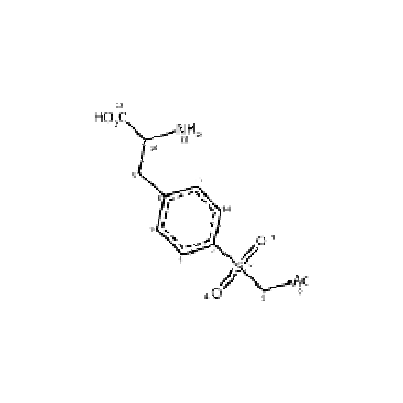 CC(=O)CS(=O)(=O)c1ccc(CC(N)C(=O)O)cc1